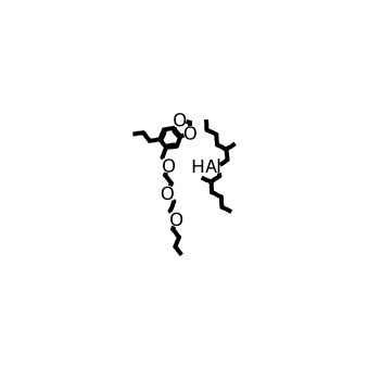 CCCCC(C)[CH2][AlH][CH2]C(C)CCCC.CCCCOCCOCCOCc1cc2c(cc1CCC)OCO2